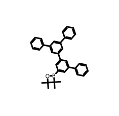 CC1(C)OB(c2cc(-c3ccccc3)cc(-c3cc(-c4ccccc4)cc(-c4ccccc4)c3)c2)C1(C)C